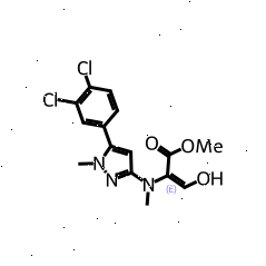 COC(=O)/C(=C\O)N(C)c1cc(-c2ccc(Cl)c(Cl)c2)n(C)n1